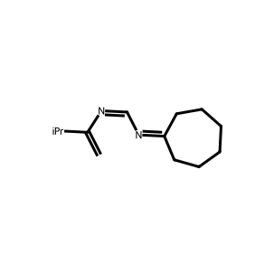 C=C(/N=C\N=C1CCCCCC1)C(C)C